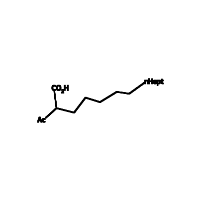 CCCCCCCCCCCCC(C(C)=O)C(=O)O